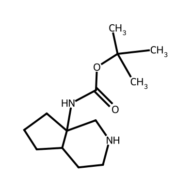 CC(C)(C)OC(=O)NC12CCCC1CCNC2